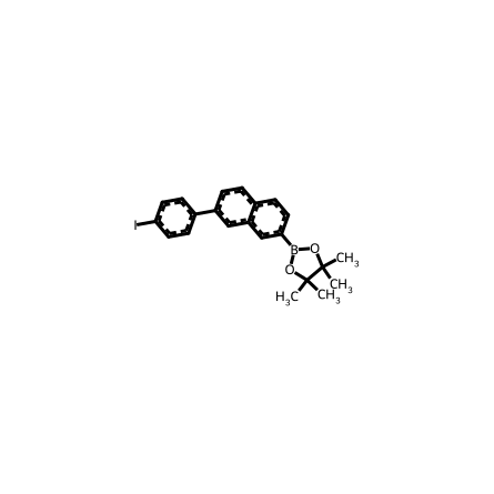 CC1(C)OB(c2ccc3ccc(-c4ccc(I)cc4)cc3c2)OC1(C)C